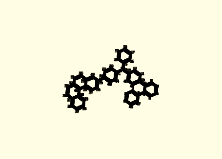 c1ccc(-c2ccccc2-c2ccc(N(c3ccccc3)c3ccc(-c4ccc5c(ccc6ccc7ccccc7c65)c4)cc3)cc2)cc1